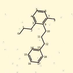 CCCc1cc[c]c(C)c1CCCc1ccccc1